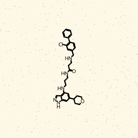 O=C(CCNCc1ccc(-c2ccccc2)c(Cl)c1)NCCCNc1cc(C2CCOCC2)cc2[nH]ncc12